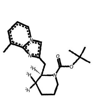 [2H]C1([2H])CCCN(C(=O)OC(C)(C)C)[C@]1([2H])Cc1cn2cccc(C)c2n1